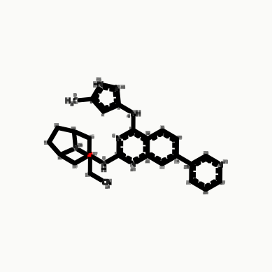 Cc1cc(Nc2nc(NC3CC4CCC(C3)N4CCC#N)nc3cc(-c4cccnc4)ccc23)n[nH]1